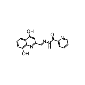 O=C(N/N=C/c1cc(O)c2cccc(O)c2n1)c1ccccn1